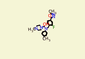 Cc1ccc(N(Cc2ccc(-c3nnc(C)o3)cc2F)C(O)N2CCN(C)CC2)cc1